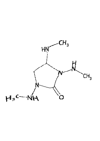 CNC1CN(NC)C(=O)N1NC